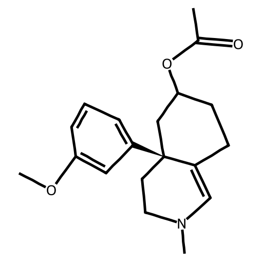 COc1cccc([C@]23CCN(C)C=C2CCC(OC(C)=O)C3)c1